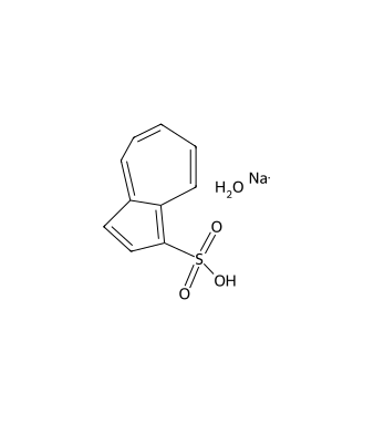 O.O=S(=O)(O)c1ccc2cccccc1-2.[Na]